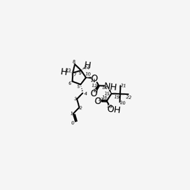 C=CCCC[C@@H]1C[C@H]2C[C@H]2[C@H]1OC(=O)N[C@H](C(=O)O)C(C)(C)C